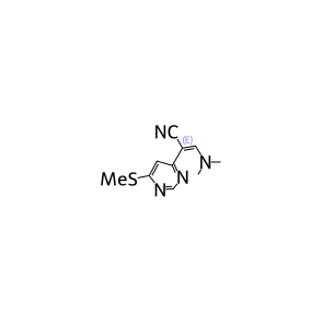 CSc1cc(/C(C#N)=C\N(C)C)ncn1